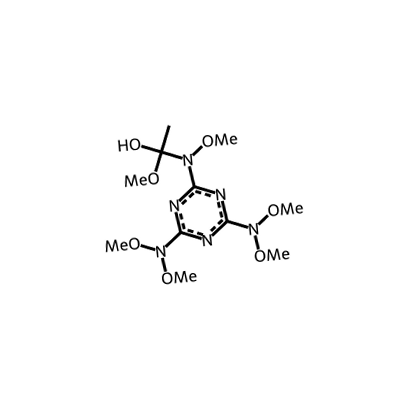 CON(OC)c1nc(N(OC)OC)nc(N(OC)C(C)(O)OC)n1